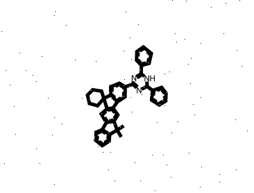 CC1(C)c2ccccc2-c2cc3c(cc21)-c1cc(C2=NC(c4ccccc4)NC(c4ccccc4)=N2)ccc1C31CCCCC1